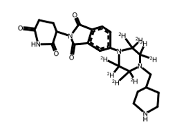 [2H]C1([2H])N(CC2CCNCC2)C([2H])([2H])C([2H])([2H])N(c2ccc3c(c2)C(=O)N(C2CCC(=O)NC2=O)C3=O)C1([2H])[2H]